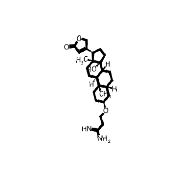 C[C@]12CC[C@H](OCCC(=N)N)C[C@H]1CC[C@@H]1[C@@H]2CC[C@]2(C)[C@@H](C3=CC(=O)OC3)CC[C@]12O